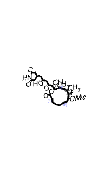 CO[C@H]1/C=C/CC/C=C/C(=O)OC([C@H](C)C(=O)C[C@H](O)CC2CC(=O)NC(=O)C2)/C(C)=C\[C@@H](C)[C@H]1F